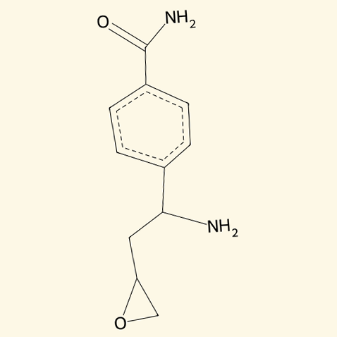 NC(=O)c1ccc(C(N)CC2CO2)cc1